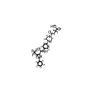 CC(C)(CC(=O)N1CCN(c2ccc(NC(=O)c3nc(-c4ccccc4)oc3C(F)(F)F)cn2)CC1)C(=O)O